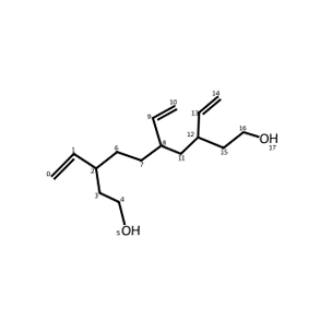 C=CC(CCO)CCC(C=C)CC(C=C)CCO